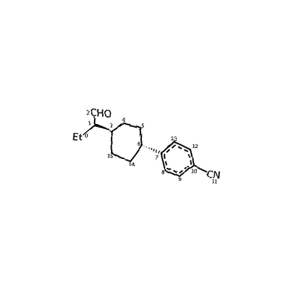 CCC(C=O)[C@H]1CC[C@H](c2ccc(C#N)cc2)CC1